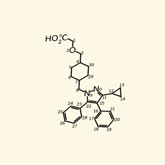 O=C(O)COCC1CCC(Cn2nc(C3CC3)c(-c3ccccc3)c2-c2ccccc2)CC1